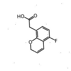 O=C(O)Cc1ccc(F)c2c1OCC=C2